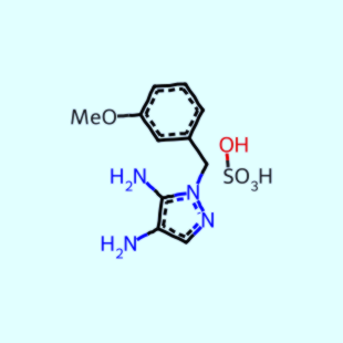 COc1cccc(Cn2ncc(N)c2N)c1.O=S(=O)(O)O